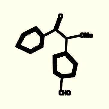 COC(C(=O)c1ccccc1)c1ccc(C=O)cc1